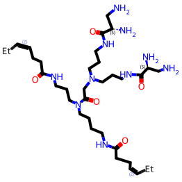 CC/C=C\CCC(=O)NCCCCN(CCCNC(=O)CC/C=C\CC)C(=O)CN(CCCNC(=O)[C@@H](N)CN)CCCNC(=O)[C@@H](N)CN